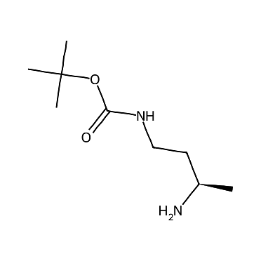 C[C@@H](N)CCNC(=O)OC(C)(C)C